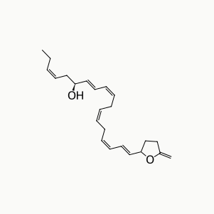 C=C1CCC(/C=C/C=C\C/C=C\C/C=C\C=C\[C@@H](O)C/C=C\CC)O1